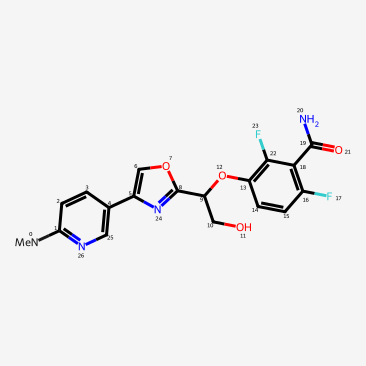 CNc1ccc(-c2coc(C(CO)Oc3ccc(F)c(C(N)=O)c3F)n2)cn1